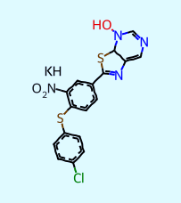 O=[N+]([O-])c1cc(C2=NC3=CN=CN(O)C3S2)ccc1Sc1ccc(Cl)cc1.[KH]